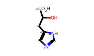 O=C(O)C(O)Cc1cnc[nH]1